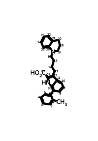 Cc1ccccc1-c1cccc2c(CCCCN3CCCc4ccccc43)c(C(=O)O)[nH]c12